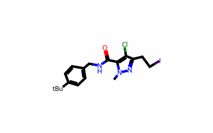 Cn1nc(CCI)c(Cl)c1C(=O)NCc1ccc(C(C)(C)C)cc1